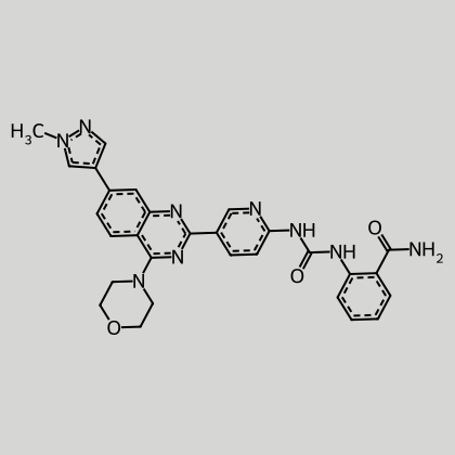 Cn1cc(-c2ccc3c(N4CCOCC4)nc(-c4ccc(NC(=O)Nc5ccccc5C(N)=O)nc4)nc3c2)cn1